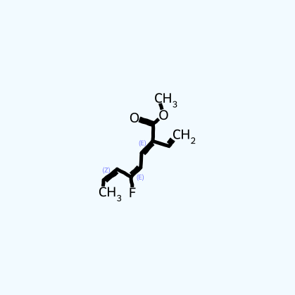 C=C\C(=C/C=C(F)\C=C/C)C(=O)OC